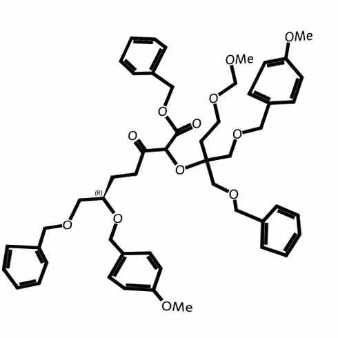 COCOCCC(COCc1ccccc1)(COCc1ccc(OC)cc1)OC(C(=O)CC[C@H](COCc1ccccc1)OCc1ccc(OC)cc1)C(=O)OCc1ccccc1